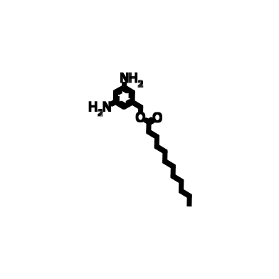 CCCCCCCCCCCC(=O)OCc1cc(N)cc(N)c1